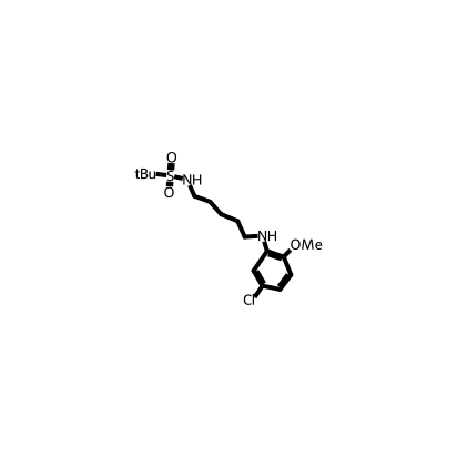 COc1ccc(Cl)cc1NCCCCCNS(=O)(=O)C(C)(C)C